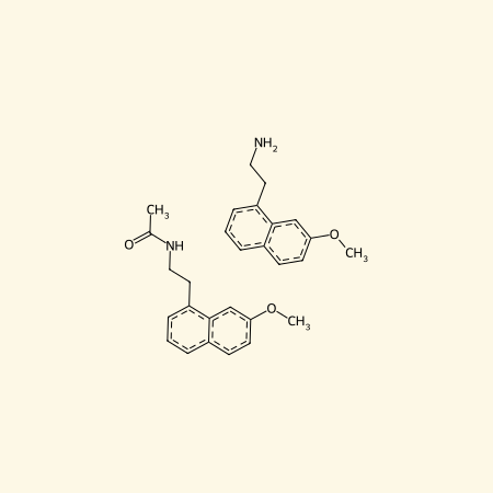 COc1ccc2cccc(CCN)c2c1.COc1ccc2cccc(CCNC(C)=O)c2c1